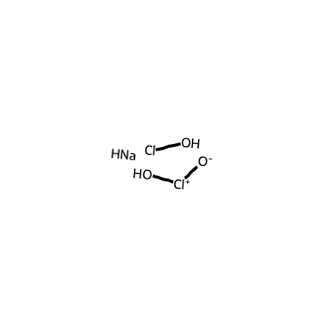 OCl.[NaH].[O-][Cl+]O